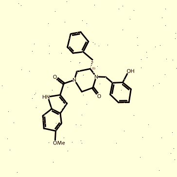 COc1ccc2[nH]c(C(=O)N3CC(=O)N(Cc4ccccc4O)[C@@H](Cc4ccccc4)C3)cc2c1